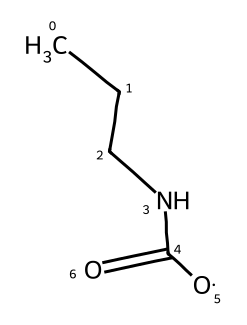 CCCNC([O])=O